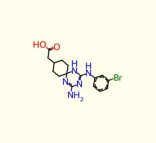 NC1=NC2(CCC(CC(=O)O)CC2)NC(Nc2cccc(Br)c2)=N1